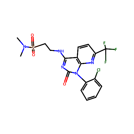 CN(C)S(=O)(=O)CCNc1nc(=O)n(-c2ccccc2Cl)c2nc(C(F)(F)F)ccc12